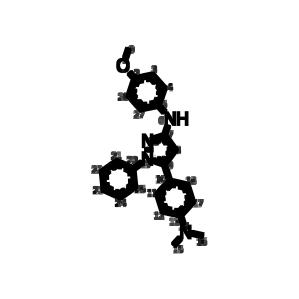 COc1ccc(Nc2cc(-c3ccc(N(C)C)cc3)n(-c3ccccc3)n2)cc1